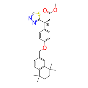 COC(=O)C[C@@H](c1ccc(OCc2ccc3c(c2)C(C)(C)CCC3(C)C)cc1)c1nncs1